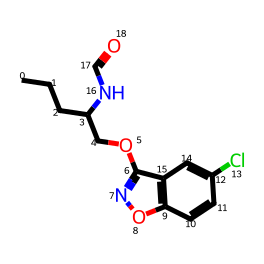 CCCC(COc1noc2ccc(Cl)cc12)NC=O